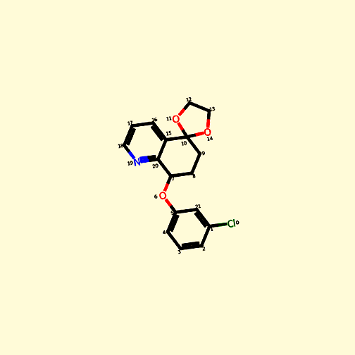 Clc1cccc(OC2CCC3(OCCO3)c3cccnc32)c1